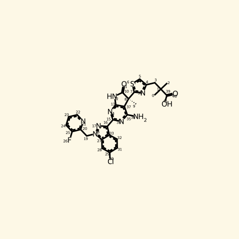 CC(C)(Cc1csc([C@]2(C)C(=O)Nc3nc(-c4nn(Cc5ncccc5F)c5cc(Cl)ccc45)nc(N)c32)n1)C(=O)O